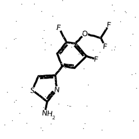 Nc1nc(-c2cc(F)c(OC(F)F)c(F)c2)cs1